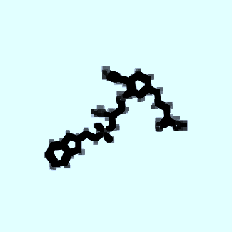 C[N+](C)(CCC1Cc2ccccc2C1)C[C@@H](O)COc1cc(CCCC(=O)O)ccc1C#N